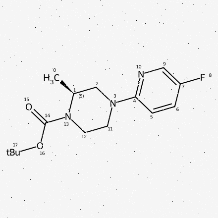 C[C@H]1CN(c2ccc(F)cn2)CCN1C(=O)OC(C)(C)C